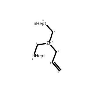 C=C[CH2][Zn]([CH2]CCCCCCC)[CH2]CCCCCCC